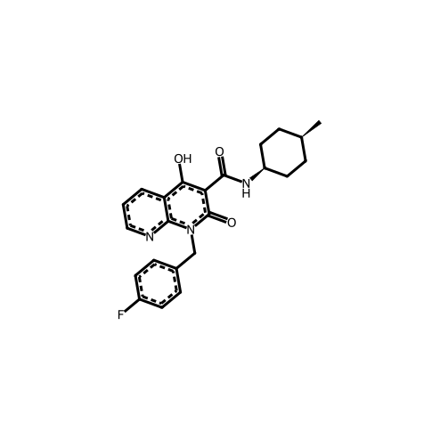 C[C@H]1CC[C@@H](NC(=O)c2c(O)c3cccnc3n(Cc3ccc(F)cc3)c2=O)CC1